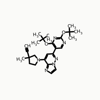 C#CC1(C)CCN(c2cc(-c3cnc(OC(C)(C)C)nc3OC(C)(C)C)nn3ccnc23)C1